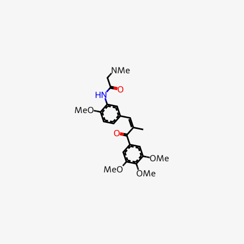 CNCC(=O)Nc1cc(C=C(C)C(=O)c2cc(OC)c(OC)c(OC)c2)ccc1OC